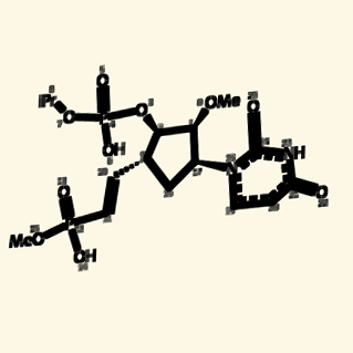 CO[C@@H]1[C@H](OP(=O)(O)OC(C)C)[C@@H](/C=C/P(=O)(O)OC)C[C@@H]1n1ccc(=O)[nH]c1=O